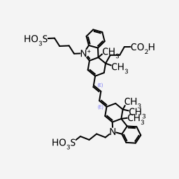 CC1(C)C/C(=C\C=C\C2=CC3=[N+](CCCCS(=O)(=O)O)c4ccccc4C3(C)C(C)(CCCC(=O)O)C2)C=C2N(CCCCS(=O)(=O)O)c3ccccc3C21C